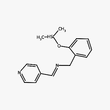 C[SiH](C)Oc1ccccc1CN=Cc1ccncc1